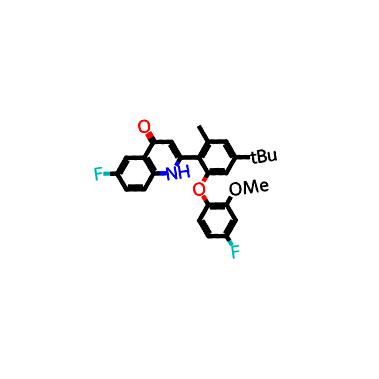 COc1cc(F)ccc1Oc1cc(C(C)(C)C)cc(C)c1-c1cc(=O)c2cc(F)ccc2[nH]1